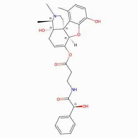 Cc1ccc(O)c2c1[C@]13CCN(C)[C@H](C)[C@]1(O)CC=C(OC(=O)CCNC(=O)[C@@H](O)c1ccccc1)[C@@H]3O2